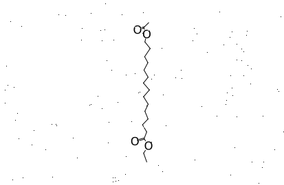 CCOC(=O)CCCCCCCCCCCCCCOC(C)=O